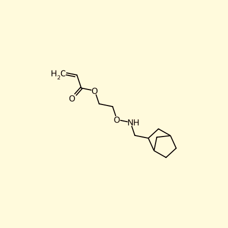 C=CC(=O)OCCONCC1CC2CCC1C2